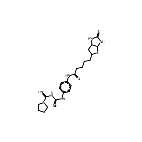 N=C(NC(=N)N1CCCC1)Nc1ccc(NC(=O)CCCCC2CC3NC(=O)NC3S2)cc1